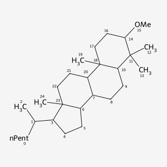 CCCCCC(C)C1CCC2C3CCC4C(C)(C)C(OC)CCC4(C)C3CCC12C